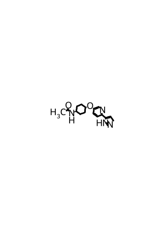 CC(=O)N[C@H]1CC[C@H](Oc2ccc(-c3ccn[nH]3)nc2)CC1